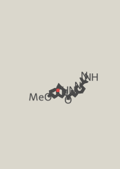 COc1cccc(CN(CC2CC2)C(=O)c2cc3ccc(-c4cn[nH]c4)nc3[nH]2)c1